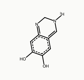 [2H]N1C=c2cc(O)c(O)cc2=NC1